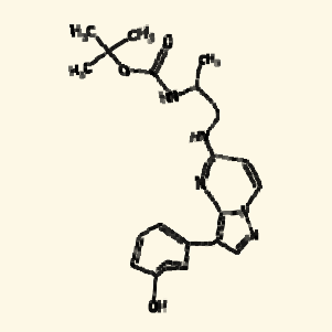 CC(CNc1ccn2ncc(-c3cccc(O)c3)c2n1)NC(=O)OC(C)(C)C